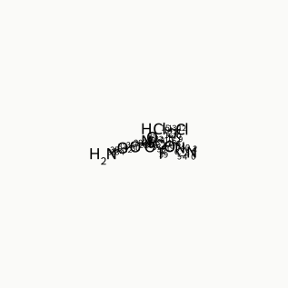 CN(C)[C@@H]1CCCN([C@H]2Cc3c(Cl)cc(Cl)cc3[C@@H]2Oc2ccc(S(=O)(=O)NCCOCCOCCN)cc2F)C1